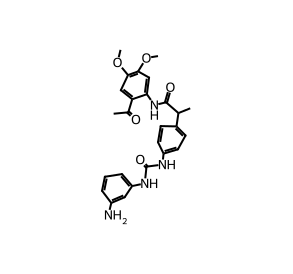 COc1cc(NC(=O)C(C)c2ccc(NC(=O)Nc3cccc(N)c3)cc2)c(C(C)=O)cc1OC